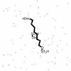 CCCCCCCCCCCCCCCCCCOS(=O)(=O)O.O=S(=O)(O)O